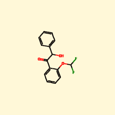 O=C(c1ccccc1OC(F)F)C(O)c1ccccc1